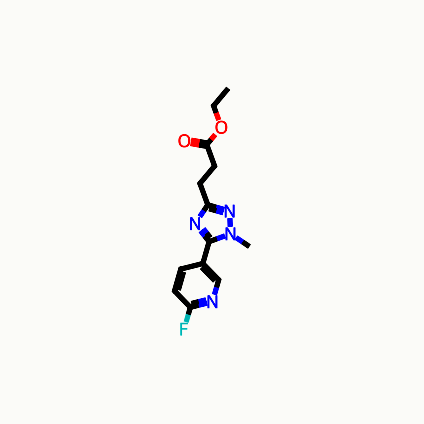 CCOC(=O)CCc1nc(-c2ccc(F)nc2)n(C)n1